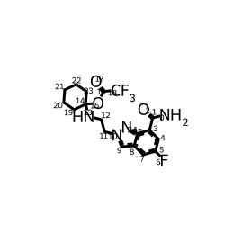 NC(=O)c1cc(F)cc2cn(CCNC3(OC(=O)C(F)(F)F)CCCCC3)nc12